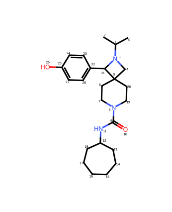 CC(C)N1CC2(CCN(C(=O)NC3CCCCCC3)CC2)C1c1ccc(O)cc1